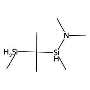 C[SiH2]C(C)(C)[SiH](C)N(C)C